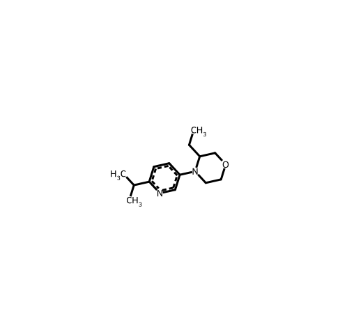 CCC1COCCN1c1ccc(C(C)C)nc1